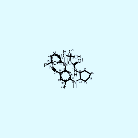 CC(C)(C)OC(=O)N[C@H]1CCCC[C@H]1Nc1nc(Nc2cccc(F)c2)c(C#N)cc1F